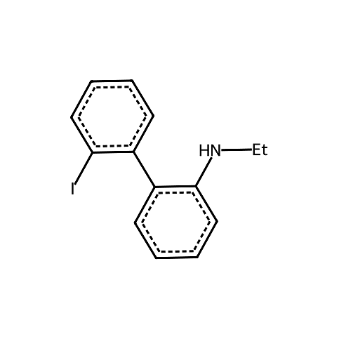 CCNc1ccccc1-c1ccccc1I